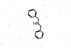 [c]1ccc(CNCc2ccccc2)cc1